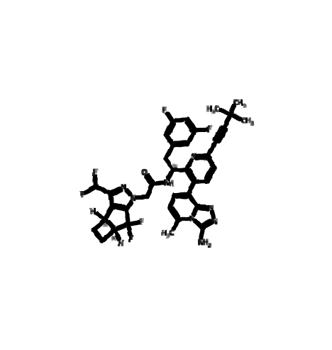 Cc1ccc(-c2ccc(C#CC(C)(C)C)nc2[C@H](Cc2cc(F)cc(F)c2)NC(=O)Cn2nc(C(F)F)c3c2C(F)(F)[C@@H]2CC[C@H]32)c2nnc(N)n12